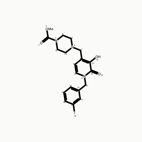 COC(=O)N1CCN(Cc2ccn(Cc3cccc(I)c3)c(=O)c2O)CC1